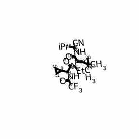 CCN(C(=O)[C@@H](NC(=O)C(F)(F)F)C1CC1)[C@H](C(=O)N[C@H](C#N)C(C)C)[C@@H]1CC1(C)C